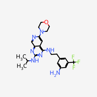 CC(C)Nc1nc(NCCc2cc(N)cc(C(F)(F)F)c2)c2cc(N3CCOCC3)ncc2n1